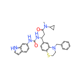 CN(C(=O)CC(NC(=O)Nc1ccc2cc[nH]c2c1)c1ccc2c(c1)N(Cc1ccccc1)CCS2)C1CC1